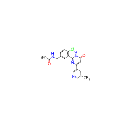 CC(C)C(=O)NCc1ccc(Cl)c(-c2nc(-c3cncc(C(F)(F)F)c3)cc(=O)[nH]2)c1